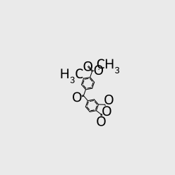 COC(=O)c1ccc(C(=O)c2ccc3c(c2)C(=O)OC3=O)cc1C